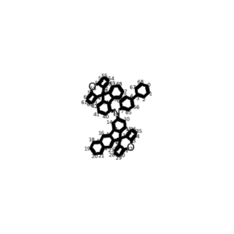 c1ccc(-c2ccc(N(c3ccc4c(c3)-c3cc5ccccc5cc3C43c4ccccc4Oc4ccccc43)c3cccc4c3-c3ccccc3C43c4ccccc4Oc4ccccc43)cc2)cc1